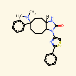 CN(C)[C@]1(c2ccccc2)CCCC2[C@H](CC1)NC(=O)N2c1csc(-c2ccccc2)n1